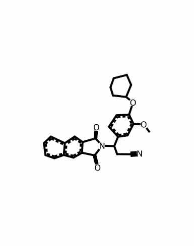 COc1cc(C(CC#N)N2C(=O)c3cc4ccccc4cc3C2=O)ccc1OC1CCCCC1